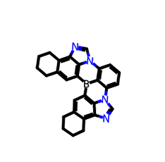 c1cc2c3c(c1)-n1cnc4c5c(cc(c41)B3c1cc3c(c4ncn-2c14)CCCC3)CCCC5